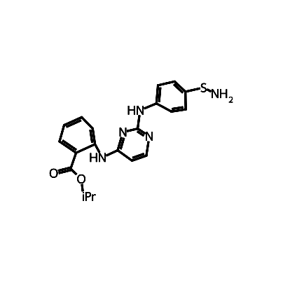 CC(C)OC(=O)c1ccccc1Nc1ccnc(Nc2ccc(SN)cc2)n1